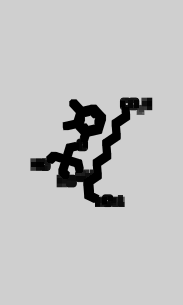 CCCCCCCC/C=C\CCCCCCCC(=O)O.Cc1cccc(OCC(CO)(CO)CO)c1C